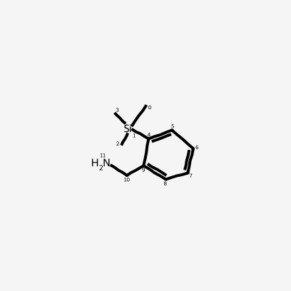 C[Si](C)(C)c1ccccc1CN